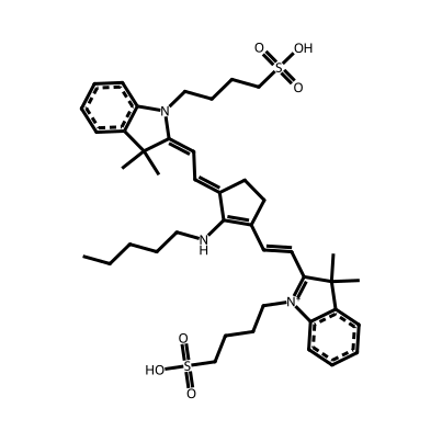 CCCCCNC1=C(/C=C/C2=[N+](CCCCS(=O)(=O)O)c3ccccc3C2(C)C)CC/C1=C\C=C1\N(CCCCS(=O)(=O)O)c2ccccc2C1(C)C